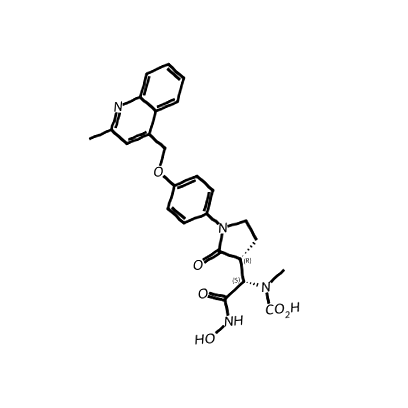 Cc1cc(COc2ccc(N3CC[C@H]([C@@H](C(=O)NO)N(C)C(=O)O)C3=O)cc2)c2ccccc2n1